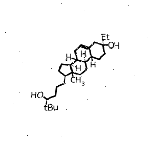 CC[C@]1(O)CC[C@H]2C(=CC[C@@H]3[C@@H]2CC[C@]2(C)[C@@H](CCC[C@H](O)C(C)(C)C)CC[C@@H]32)C1